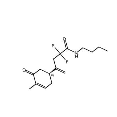 C=C(CC(F)(F)C(=O)NCCCC)[C@H]1CC=C(C)C(=O)C1